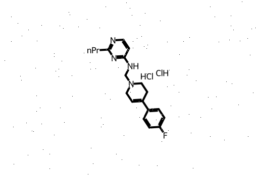 CCCc1nccc(NCN2CC=C(c3ccc(F)cc3)CC2)n1.Cl.Cl